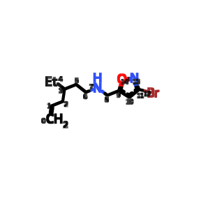 C=CCC(CC)CCNCc1cc(Br)no1